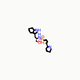 O=S(=O)(N[C@@H](CO)Cc1c[nH]c2ccccc12)c1ccc(-c2ccccn2)s1